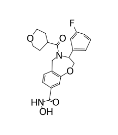 O=C(NO)c1ccc2c(c1)OCC(c1cccc(F)c1)N(C(=O)C1CCOCC1)C2